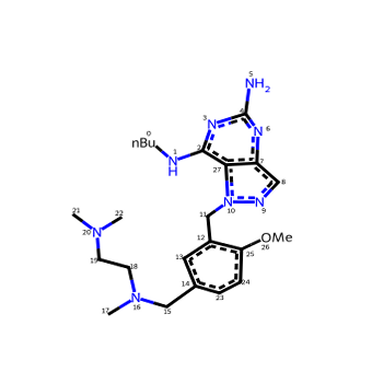 CCCCNc1nc(N)nc2cnn(Cc3cc(CN(C)CCN(C)C)ccc3OC)c12